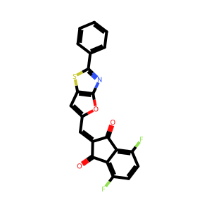 O=C1C(=Cc2cc3sc(-c4ccccc4)nc3o2)C(=O)c2c(F)ccc(F)c21